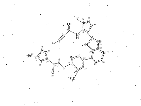 CC#CC(=O)Nc1c(-c2nc3c(-c4ccc(CNC(=O)c5nc(C(C)(C)C)no5)c(C(F)(F)F)c4)ccnc3[nH]2)cnn1C